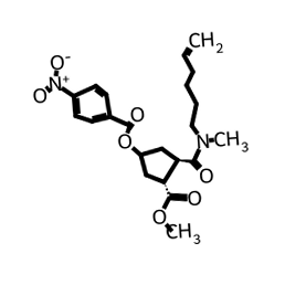 C=CCCCCN(C)C(=O)[C@@H]1CC(OC(=O)c2ccc([N+](=O)[O-])cc2)C[C@H]1C(=O)OC